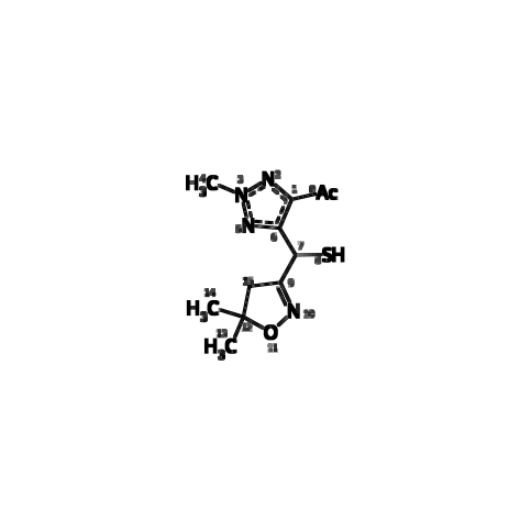 CC(=O)c1nn(C)nc1C(S)C1=NOC(C)(C)C1